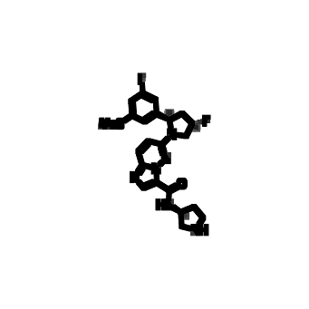 CSc1cc(F)cc([C@H]2C[C@H](F)CN2c2ccc3ncc(C(=O)N[C@H]4CCNC4)n3n2)c1